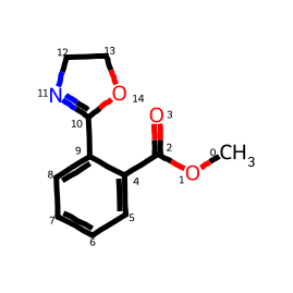 COC(=O)c1ccccc1C1=NCCO1